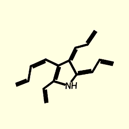 C=C/C=C\c1c(C=C)[nH]c(=C/C=C)/c1=C\C=C